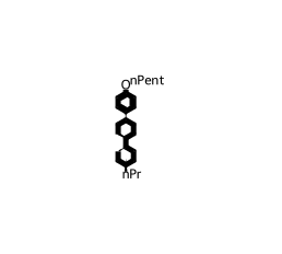 CCCCCOc1ccc([C@H]2CC[C@H]([C@H]3CC[C@H](CCC)CC3)CC2)cc1